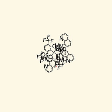 NC(=O)C(c1cc(C(F)(F)F)ccc1S(=O)(=O)Nc1cccc2cccnc12)(c1cc(C(F)(F)F)ccc1S(=O)(=O)Nc1cccc2cccnc12)c1cc(C(F)(F)F)ccc1S(=O)(=O)Nc1cccc2cccnc12